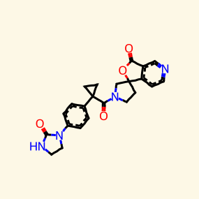 O=C1OC2(CCN(C(=O)C3(c4ccc(N5CCNC5=O)cc4)CC3)C2)c2ccncc21